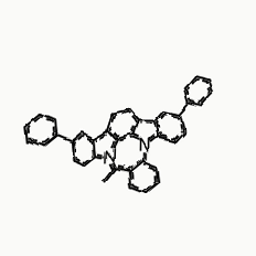 C=c1c2ccccc2n2c3ccc(-c4ccccc4)cc3c3ccc4c5cc(-c6ccccc6)ccc5n1c4c32